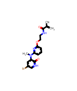 C=C(C#N)C(=O)NCCOc1cccc(N(C)c2cc(Br)c[nH]c2=O)n1